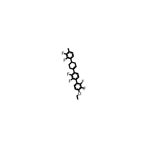 CCOc1ccc(-c2ccc(C3=CCC(c4ccc(C)c(F)c4F)CC3)c(F)c2F)c(F)c1F